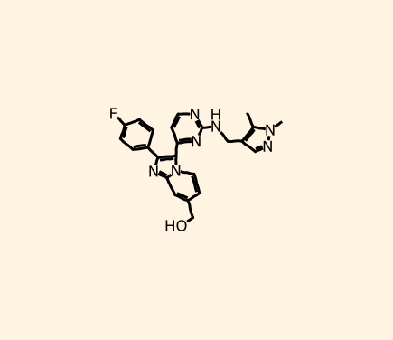 Cc1c(CNc2nccc(-c3c(-c4ccc(F)cc4)nc4cc(CO)ccn34)n2)cnn1C